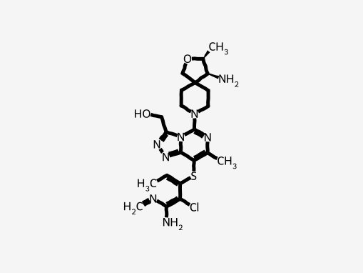 C=N/C(N)=C(Cl)\C(=C/C)Sc1c(C)nc(N2CCC3(CC2)CO[C@@H](C)[C@H]3N)n2c(CO)nnc12